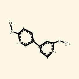 COc1ccc(-c2ccnc(OC)c2)cn1